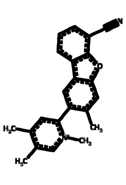 Cc1cc(-c2cc3c(cc2C)oc2c(C#N)cccc23)[n+](C)cc1C